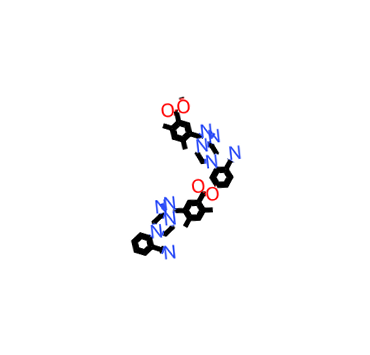 COC(=O)c1cc(-c2nnc3n2CCN(c2cc(OC(=O)c4cc(-c5nnc6n5CCN(c5ccccc5C#N)C6)c(C)cc4C)ccc2C#N)C3)c(C)cc1C